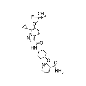 CC(F)(F)COc1ccc2c(C(=O)N[C@H]3CC[C@H](Oc4ncccc4C(N)=O)CC3)cnn2c1C1CC1